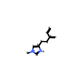 C=CC(=C)CCc1cn(C)cn1